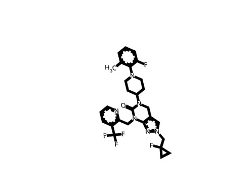 Cc1cccc(F)c1N1CCC(N2Cc3cn(CC4(F)CC4)nc3N(Cc3ncccc3C(F)(F)F)C2=O)CC1